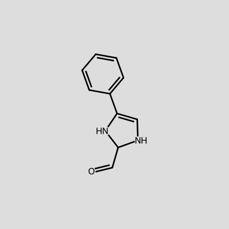 O=CC1NC=C(c2ccccc2)N1